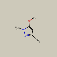 Cc1cc(OC(C)C)n(C)n1